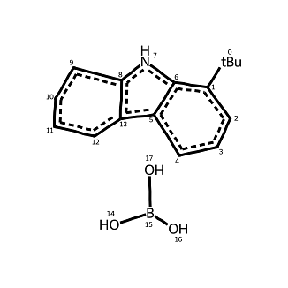 CC(C)(C)c1cccc2c1[nH]c1ccccc12.OB(O)O